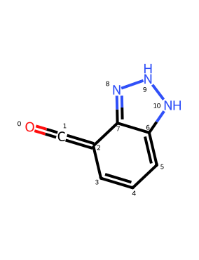 O=C=c1cccc2c1=NNN2